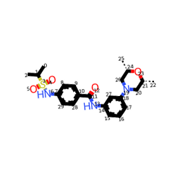 CC(C)S(=O)(=O)Nc1ccc(C(=O)Nc2cccc(N3C[C@@H](C)O[C@@H](C)C3)c2)cc1